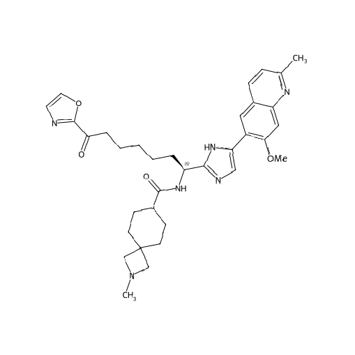 COc1cc2nc(C)ccc2cc1-c1cnc([C@H](CCCCCC(=O)c2ncco2)NC(=O)C2CCC3(CC2)CN(C)C3)[nH]1